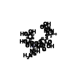 Cc1cc(SCC2=C(C(=O)O)N3C(=O)[C@@H](NC(=O)/C(=N\O[C@H](C(=O)O)c4ccc(O)c(O)c4)c4csc(N)n4)[C@H]3SC2)n2nc(C(=O)O)nc2n1